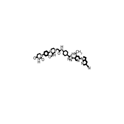 CNc1cc(-n2ccc3cc(C#N)cnc32)ncc1-c1nnc(C2CCC(NC(=O)CN3CCN4c5ccc(N6CCC(=O)NC6=O)cc5OC[C@H]4C3)CC2)s1